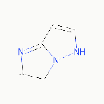 [CH]1CN2NC=CC2=N1